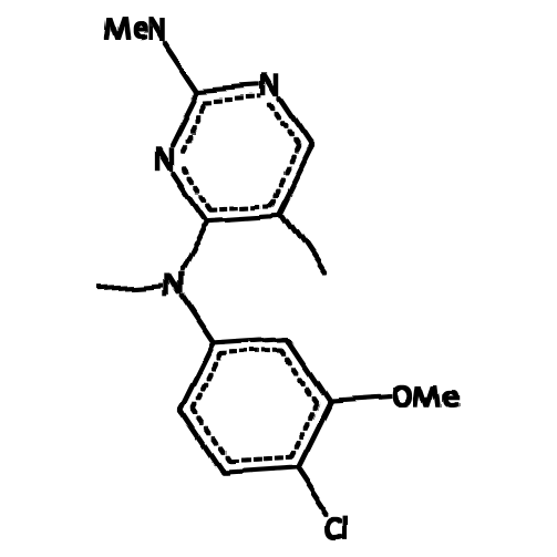 CNc1ncc(C)c(N(C)c2ccc(Cl)c(OC)c2)n1